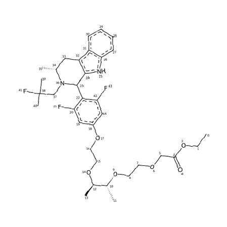 CCOC(=O)COCCO[C@H](C)[C@@H](C)OCCOc1cc(F)c(C2c3[nH]c4ccccc4c3C[C@@H](C)N2CC(C)(C)F)c(F)c1